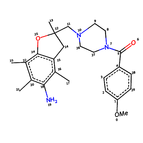 COc1ccc(C(=O)N2CCN(CC3(C)Cc4c(C)c(N)c(C)c(C)c4O3)CC2)cc1